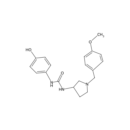 COc1ccc(CN2CCC(NC(=O)Nc3ccc(O)cc3)C2)cc1